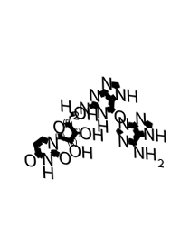 Nc1nc2nc[nH]c2c(=O)[nH]1.Nc1ncnc2nc[nH]c12.O=c1ccn([C@@H]2O[C@H](CO)[C@@H](O)[C@H]2O)c(=O)[nH]1